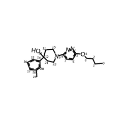 CCCCOc1ccc(N2CCC(O)(c3cccc(C)c3)CC2)nn1